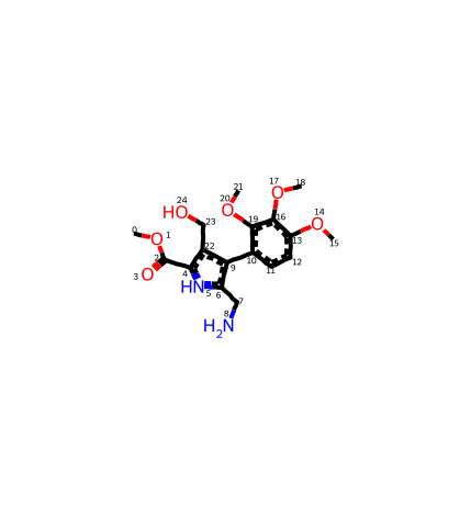 COC(=O)c1[nH]c(CN)c(-c2ccc(OC)c(OC)c2OC)c1CO